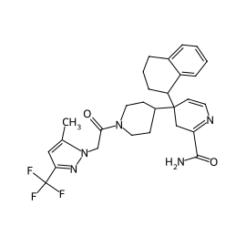 Cc1cc(C(F)(F)F)nn1CC(=O)N1CCC(C2(C3CCCc4ccccc43)C=CN=C(C(N)=O)C2)CC1